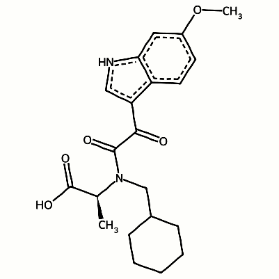 COc1ccc2c(C(=O)C(=O)N(CC3CCCCC3)[C@@H](C)C(=O)O)c[nH]c2c1